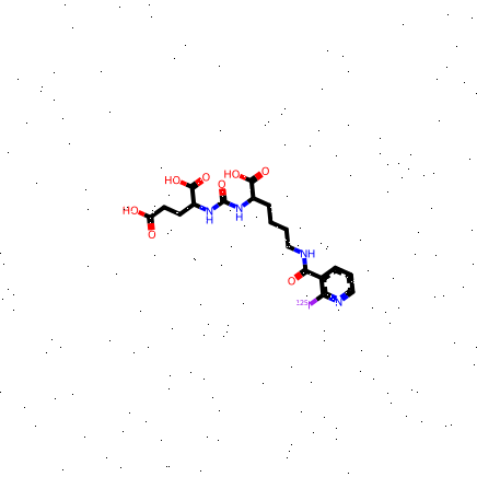 O=C(O)CCC(NC(=O)NC(CCCCNC(=O)c1cccnc1[125I])C(=O)O)C(=O)O